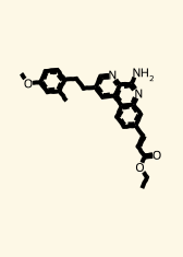 CCOC(=O)C=Cc1ccc2c(c1)nc(N)c1ncc(CCc3ccc(OC)cc3C)cc12